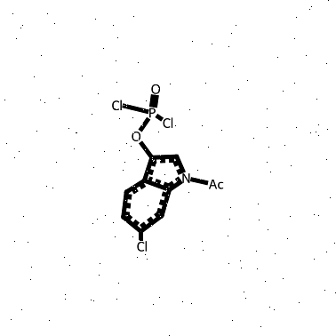 CC(=O)n1cc(OP(=O)(Cl)Cl)c2ccc(Cl)cc21